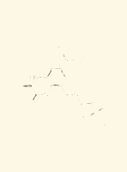 Br.O=c1[nH]c2cc([N+](=O)[O-])cc(CNCCS(=O)(=O)O)c2[nH]c1=O